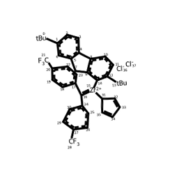 CC(C)(C)c1ccc2c(c1)Cc1c-2ccc(C(C)(C)C)[c]1[Zr+2](=[C](c1ccc(C(F)(F)F)cc1)c1ccc(C(F)(F)F)cc1)[CH]1C=CC=C1.[Cl-].[Cl-]